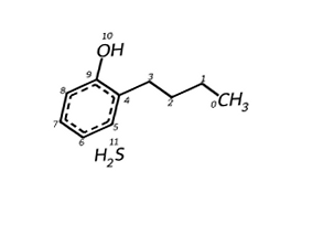 CCCCc1ccccc1O.S